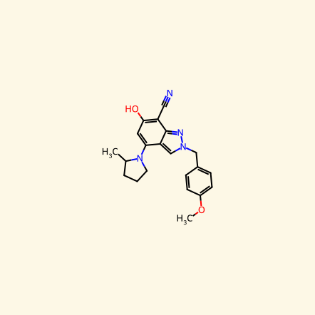 COc1ccc(Cn2cc3c(N4CCCC4C)cc(O)c(C#N)c3n2)cc1